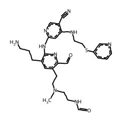 CN(CCNC=O)CCc1cc(CCCN)c(Nc2cc(NCCSc3cccnc3)c(C#N)cn2)nc1C=O